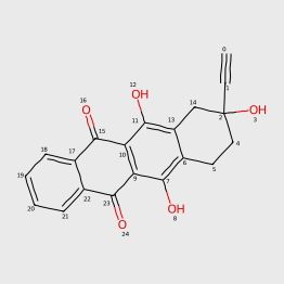 C#CC1(O)CCc2c(O)c3c(c(O)c2C1)C(=O)c1ccccc1C3=O